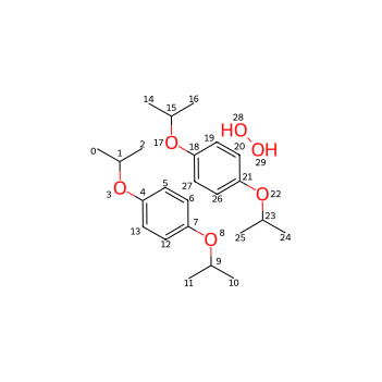 CC(C)Oc1ccc(OC(C)C)cc1.CC(C)Oc1ccc(OC(C)C)cc1.OO